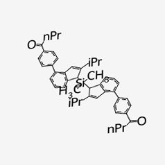 CCCC(=O)c1ccc(-c2cccc3c2C=C(C(C)C)C3[Si](C)(C)C2C(C(C)C)=Cc3c(-c4ccc(C(=O)CCC)cc4)cccc32)cc1